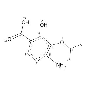 CC(C)Oc1c(N)ccc(C(=O)O)c1O